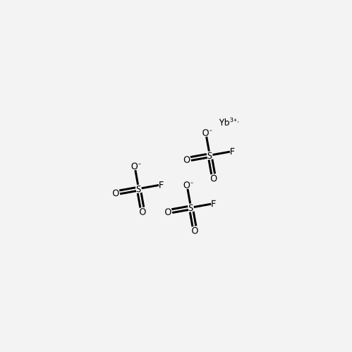 O=S(=O)([O-])F.O=S(=O)([O-])F.O=S(=O)([O-])F.[Yb+3]